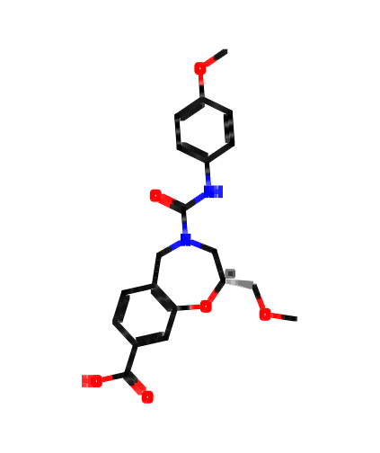 COC[C@H]1CN(C(=O)Nc2ccc(OC)cc2)Cc2ccc(C(=O)O)cc2O1